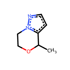 CC1OCCn2nccc21